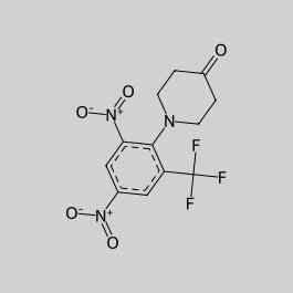 O=C1CCN(c2c([N+](=O)[O-])cc([N+](=O)[O-])cc2C(F)(F)F)CC1